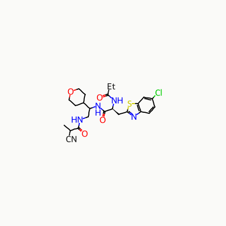 CCC(=O)N[C@@H](Cc1nc2ccc(Cl)cc2s1)C(=O)NC(CNC(=O)C(C)C#N)C1CCOCC1